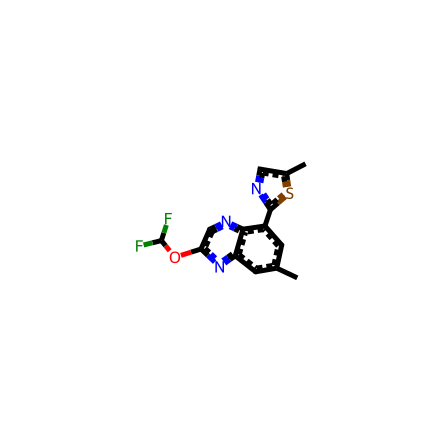 Cc1cc(-c2ncc(C)s2)c2ncc(OC(F)F)nc2c1